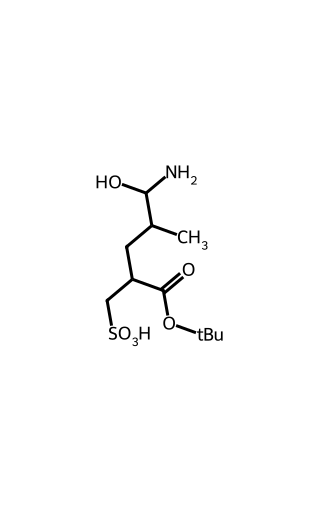 CC(CC(CS(=O)(=O)O)C(=O)OC(C)(C)C)C(N)O